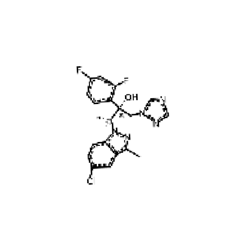 Cc1nn([C@H](C)[C@](O)(Cn2cncn2)c2ccc(F)cc2F)c2ccc(Cl)cc12